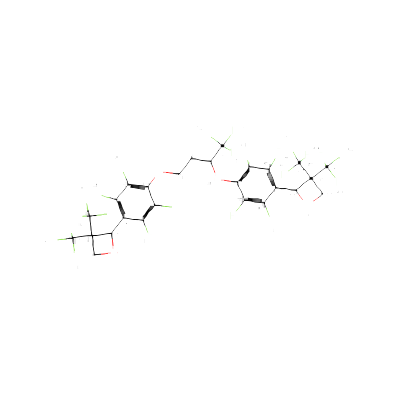 Fc1c(F)c(C2OCC2(C(F)(F)F)C(F)(F)F)c(F)c(F)c1OCCC(Oc1c(F)c(F)c(C2OCC2(C(F)(F)F)C(F)(F)F)c(F)c1F)C(F)(F)F